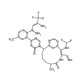 Cc1ccc(N(N)/C=C(\N)C(F)(F)F)c(-c2cc(=O)n(C3CCCC(C)C(=O)N/C(C=N)=C(/NC(F)F)c4ccnc3c4)cn2)c1